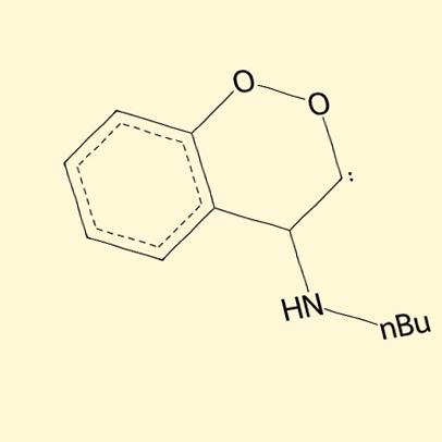 CCCCNC1[C]OOc2ccccc21